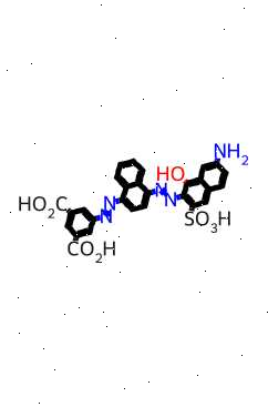 Nc1ccc2cc(S(=O)(=O)O)c(N=Nc3ccc(N=Nc4cc(C(=O)O)cc(C(=O)O)c4)c4ccccc34)c(O)c2c1